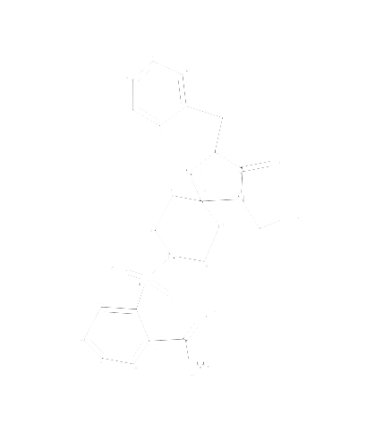 CCOC(=O)CN1C(=O)C(Cc2ccccc2)NC12CCN(S(=O)(=O)c1ccccc1C(=O)OC)CC2